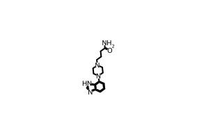 NC(=O)CCCN1CCN(c2cccc3nc[nH]c23)CC1